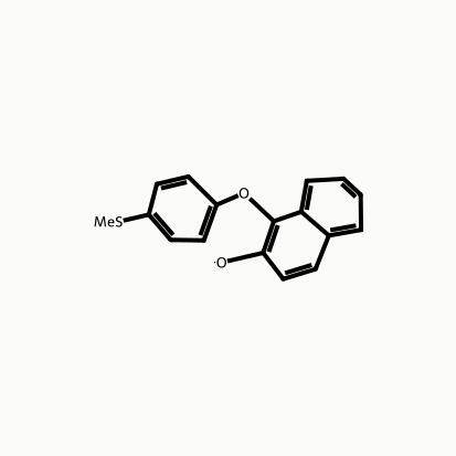 CSc1ccc(Oc2c([O])ccc3ccccc23)cc1